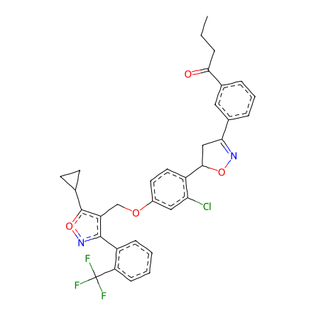 CCCC(=O)c1cccc(C2=NOC(c3ccc(OCc4c(-c5ccccc5C(F)(F)F)noc4C4CC4)cc3Cl)C2)c1